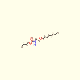 CCCCCCCCOCCNC(=O)OCCCC